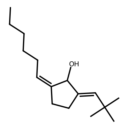 CCCCCC=C1CCC(=CC(C)(C)C)C1O